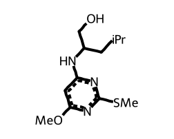 COc1cc(NC(CO)CC(C)C)nc(SC)n1